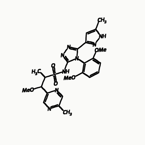 COc1cccc(OC)c1-n1c(NS(=O)(=O)C(C)C(OC)c2cnc(C)cn2)nnc1-c1cc(C)[nH]n1